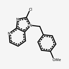 COc1ccc(Cn2c(Cl)nc3ncccc32)cc1